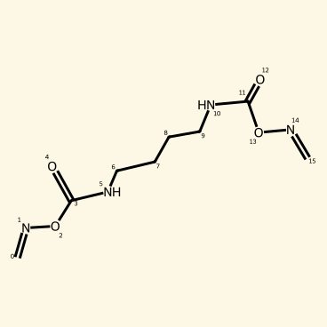 C=NOC(=O)NCCCCNC(=O)ON=C